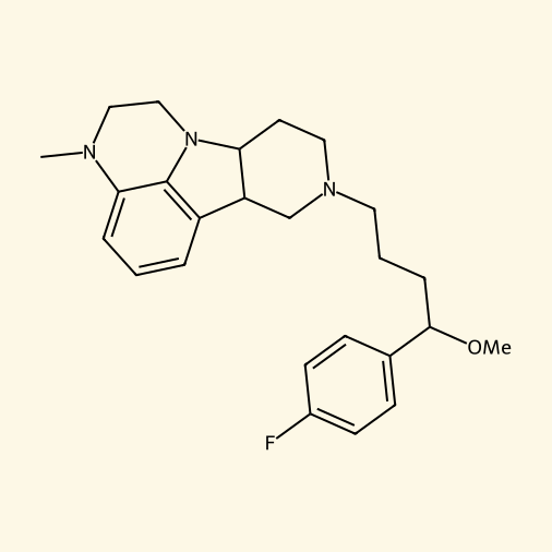 COC(CCCN1CCC2C(C1)c1cccc3c1N2CCN3C)c1ccc(F)cc1